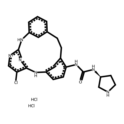 Cl.Cl.O=C(Nc1ccc2cc1CCc1cccc(c1)Nc1ncc(Cl)c(n1)N2)N[C@H]1CCNC1